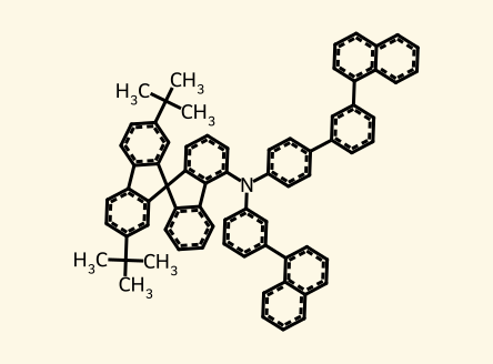 CC(C)(C)c1ccc2c(c1)C1(c3cc(C(C)(C)C)ccc3-2)c2ccccc2-c2c(N(c3ccc(-c4cccc(-c5cccc6ccccc56)c4)cc3)c3cccc(-c4cccc5ccccc45)c3)cccc21